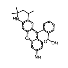 CC1CC(C)(C)Nc2cc3oc4cc(=N)ccc-4c(-c4ccccc4C(=O)O)c3cc21